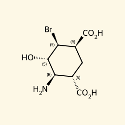 N[C@H]1[C@H](O)[C@@H](Br)[C@@H](C(=O)O)C[C@@H]1C(=O)O